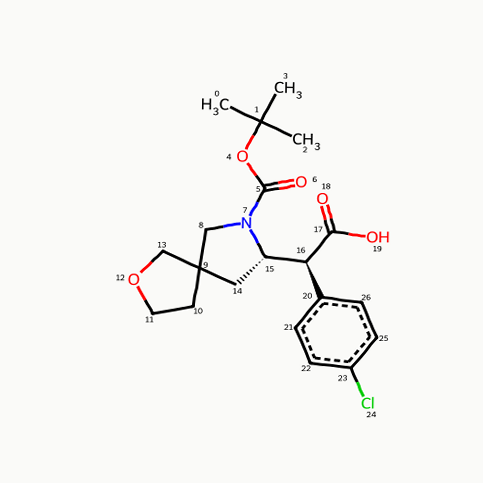 CC(C)(C)OC(=O)N1CC2(CCOC2)C[C@H]1[C@@H](C(=O)O)c1ccc(Cl)cc1